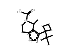 CC1c2c(C3(C(C)(C)C)CCC3)n[nH]c2CCN1C(=O)O